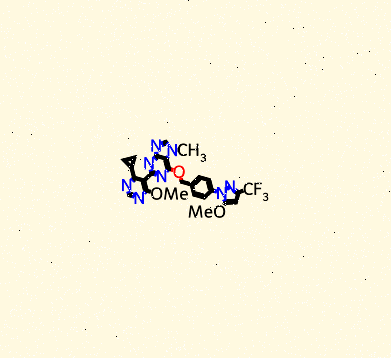 COc1ncnc(C2CC2)c1-c1nc(OCc2ccc(-n3nc(C(F)(F)F)cc3OC)cc2)c2c(ncn2C)n1